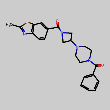 Cc1nc2ccc(C(=O)N3CC(N4CCN(C(=O)c5ccccc5)CC4)C3)cc2s1